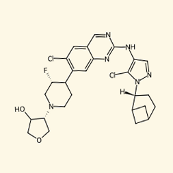 OC1COC[C@H]1N1CCC(c2cc3nc(Nc4cnn([C@@H]5CCC6CC5C6)c4Cl)ncc3cc2Cl)[C@@H](F)C1